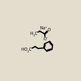 CCC(=O)[O-].O=C(O)CCc1ccccc1.[Na+]